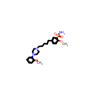 COc1ccccc1N1CCN(CCCCCc2ccc(OC)c(S(N)(=O)=O)c2)CC1